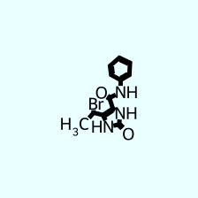 CC(Br)c1[nH]c(=O)[nH]c1C(=O)Nc1ccccc1